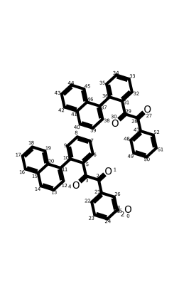 O.O=C(C(=O)c1ccccc1-c1cccc2ccccc12)c1ccccc1.O=C(C(=O)c1ccccc1-c1cccc2ccccc12)c1ccccc1